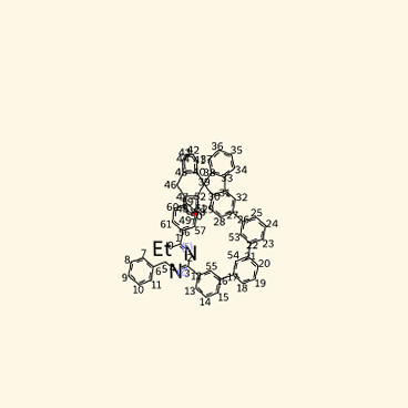 CC/C(=N\C(=N/Cc1ccccc1)c1cccc(-c2cccc(-c3cccc(-c4ccc5c(c4)-c4ccccc4C54c5ccccc5Cc5ccccc54)c3)c2)c1)c1ccccc1